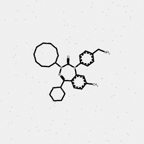 Cc1ccc2c(c1)N(c1ccc(CN)cc1)C(=O)N(C1CCCCCCCCC1)N=C2C1CCCCC1